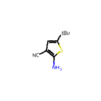 CC(C)(C)c1cc(C#N)c(N)s1